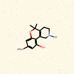 CCCCCc1cc(O)c2c(c1)OC(C)(C)C1=C2CN(C#N)CC1